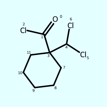 O=C(Cl)C1(C(Cl)Cl)CCCCC1